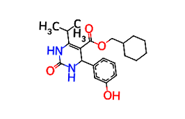 CC(C)C1=C(C(=O)OCC2CCCCC2)C(c2cccc(O)c2)NC(=O)N1